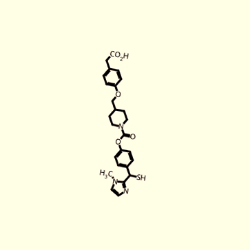 Cn1ccnc1C(S)c1ccc(OC(=O)N2CCC(COc3ccc(CC(=O)O)cc3)CC2)cc1